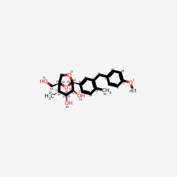 CCOc1ccc(Cc2cc([C@]34OC[C@](CO)(O3)[C@@H](C)[C@H](O)[C@@H]4O)ccc2C)cc1